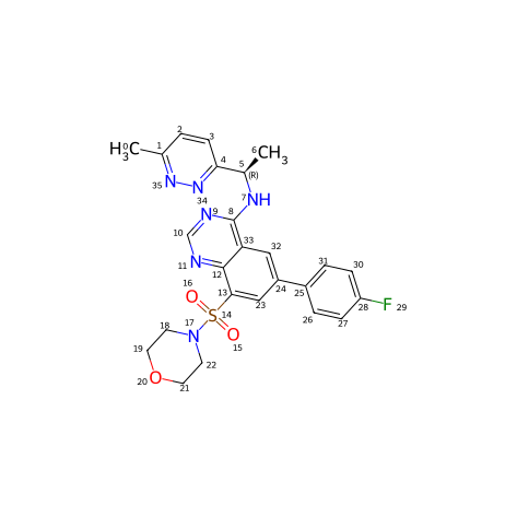 Cc1ccc([C@@H](C)Nc2ncnc3c(S(=O)(=O)N4CCOCC4)cc(-c4ccc(F)cc4)cc23)nn1